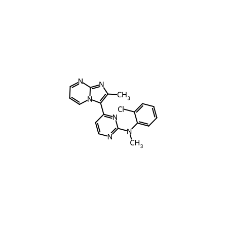 Cc1nc2ncccn2c1-c1ccnc(N(C)c2ccccc2Cl)n1